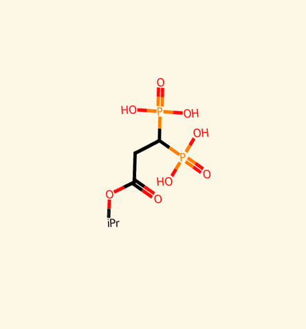 CC(C)OC(=O)CC(P(=O)(O)O)P(=O)(O)O